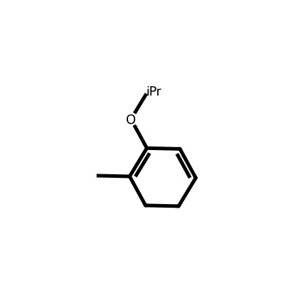 CC1=C(OC(C)C)C=CCC1